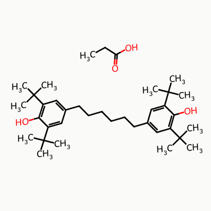 CC(C)(C)c1cc(CCCCCCc2cc(C(C)(C)C)c(O)c(C(C)(C)C)c2)cc(C(C)(C)C)c1O.CCC(=O)O